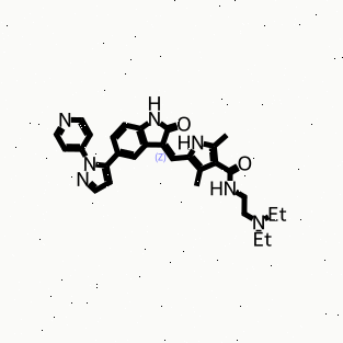 CCN(CC)CCNC(=O)c1c(C)[nH]c(/C=C2\C(=O)Nc3ccc(-c4ccnn4-c4ccncc4)cc32)c1C